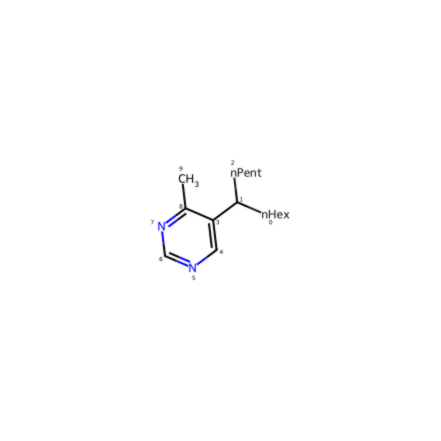 CCCCCCC(CCCCC)c1cncnc1C